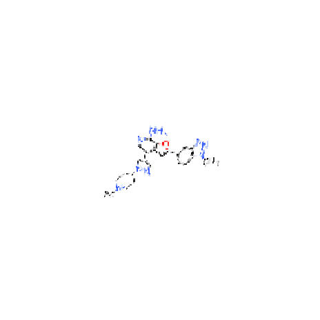 CC(=O)N1CCC(n2cc(-c3cnc(N)c4oc(-c5ccc6c(c5)nnn6C)cc34)cn2)CC1